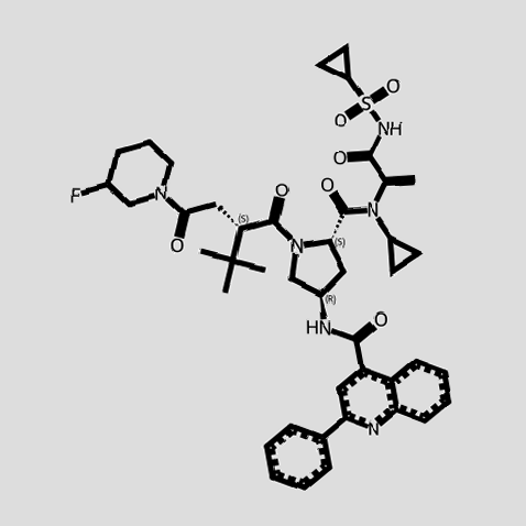 C=C(C(=O)NS(=O)(=O)C1CC1)N(C(=O)[C@@H]1C[C@@H](NC(=O)c2cc(-c3ccccc3)nc3ccccc23)CN1C(=O)[C@@H](CC(=O)N1CCCC(F)C1)C(C)(C)C)C1CC1